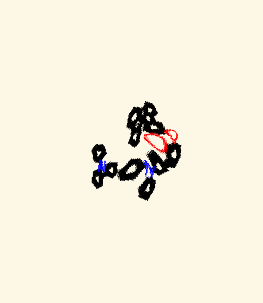 C1=CC2c3ccccc3C3(c4ccccc4-c4cc5c(cc43)Oc3c(cccc3-c3ccc(N(C4=CC[C@@H](c6ccc7c(c6)c6ccccc6n7-c6ccccc6)C=C4)c4ccccc4)cc3)O5)[C@H]2C=C1